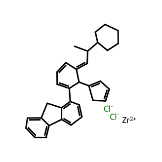 CC(C=C1C=CC=C(c2cccc3c2Cc2ccccc2-3)C1C1=CC=CC1)C1CCCCC1.[Cl-].[Cl-].[Zr+2]